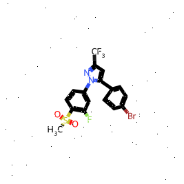 CS(=O)(=O)c1ccc(-n2nc(C(F)(F)F)cc2-c2ccc(Br)cc2)cc1F